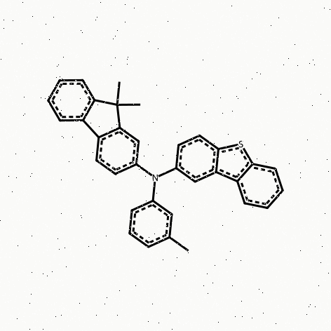 Cc1cccc(N(c2ccc3c(c2)C(C)(C)c2ccccc2-3)c2ccc3sc4ccccc4c3c2)c1